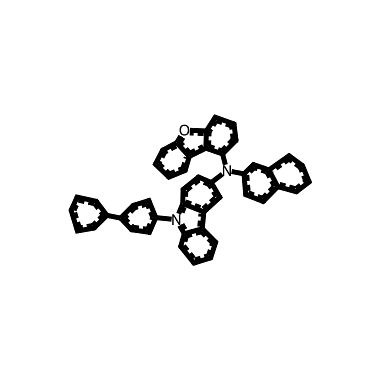 c1ccc(-c2ccc(-n3c4ccccc4c4cc(N(c5ccc6ccccc6c5)c5cccc6oc7ccccc7c56)ccc43)cc2)cc1